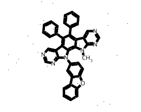 Cn1c2ncncc2c2c(-c3ccccc3)c(-c3ccccc3)c3c4cncnc4n(-c4ccc5oc6ccccc6c5c4)c3c21